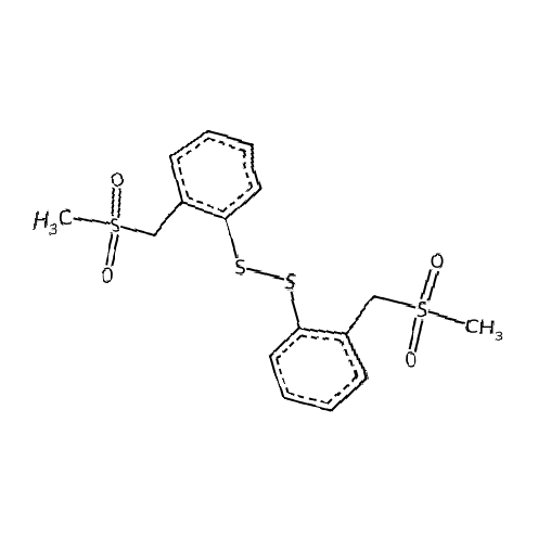 CS(=O)(=O)Cc1ccccc1SSc1ccccc1CS(C)(=O)=O